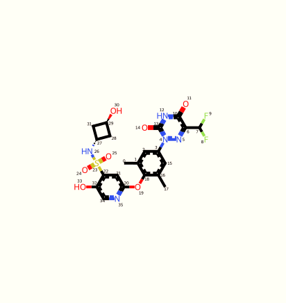 Cc1cc(-n2nc(C(F)F)c(=O)[nH]c2=O)cc(C)c1Oc1cc(S(=O)(=O)N[C@H]2C[C@H](O)C2)c(O)cn1